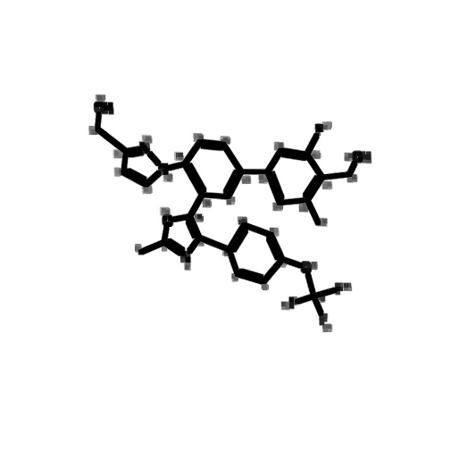 Cc1nc(-c2ccc(OC(F)(F)F)cc2)c(-c2cc(-c3cc(C)c(CO)c(F)c3)ccc2-n2ccc(CO)n2)o1